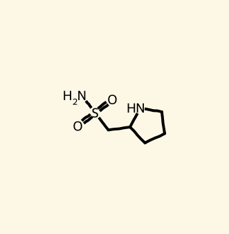 NS(=O)(=O)CC1CCCN1